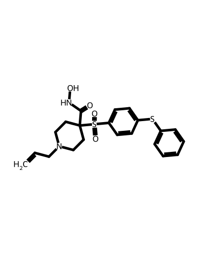 C=CCN1CCC(C(=O)NO)(S(=O)(=O)c2ccc(Sc3ccccc3)cc2)CC1